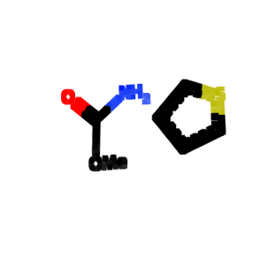 COC(N)=O.c1ccsc1